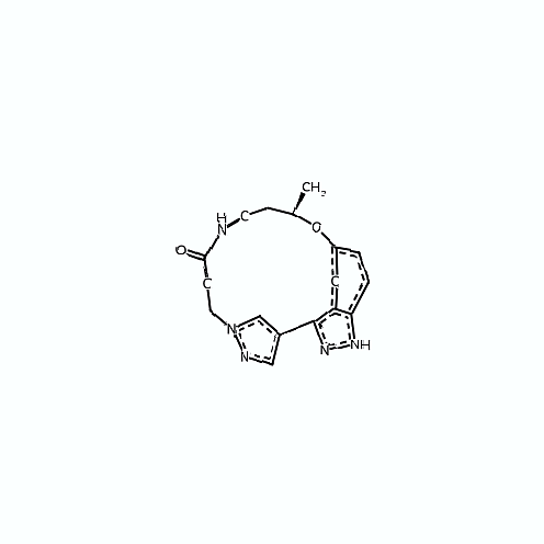 C[C@@H]1CCNC(=O)CCn2cc(cn2)-c2n[nH]c3ccc(cc23)O1